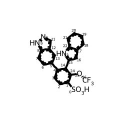 O=S(=O)(O)c1ccc(-c2ccc3[nH]ncc3c2)c(-c2cc3ccccc3[nH]2)c1OC(F)(F)F